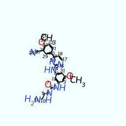 COc1cc(NC(=O)NCCN)cc(Nc2nccc(-c3ccc(OC)c(C#N)c3)n2)c1